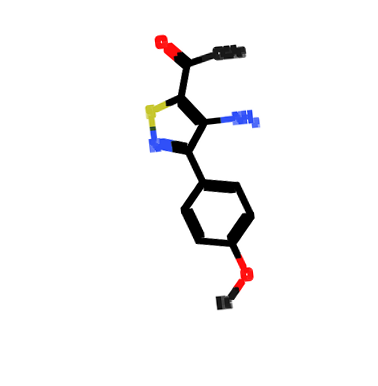 CCOc1ccc(-c2nsc(C(=O)OC)c2N)cc1